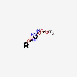 Cc1ccc(OCC(=O)N[C@H]2CC[C@H](c3nnc(OCCOC(F)(F)F)o3)NC2)cc1C